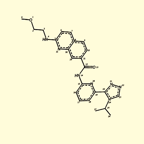 COCCNc1ccc2ccc(C(=O)Nc3cccc(-c4nncn4C(C)C)n3)cc2n1